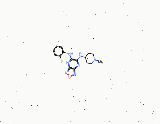 CN1CCC(Nc2nc3nonc3nc2Nc2ccccc2F)CC1